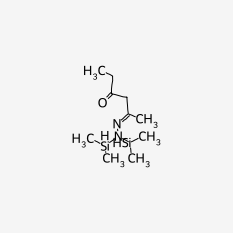 CCC(=O)CC(C)=NN([SiH](C)C)[SiH](C)C